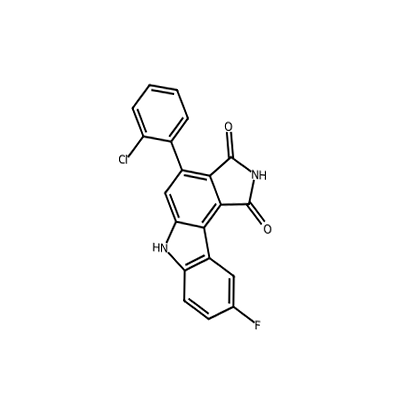 O=C1NC(=O)c2c1c(-c1ccccc1Cl)cc1[nH]c3ccc(F)cc3c21